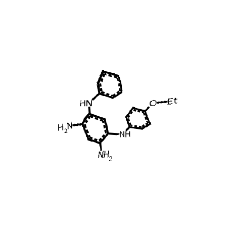 CCOc1ccc(Nc2cc(Nc3ccccc3)c(N)cc2N)cc1